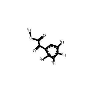 [2H]OC(=O)C(=O)c1cc([2H])c([2H])c([2H])c1[2H]